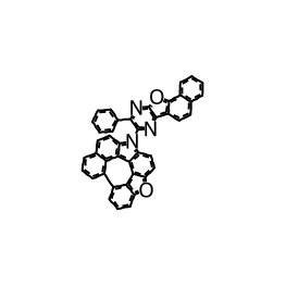 c1ccc(-c2nc3oc4c5ccccc5ccc4c3nc2-n2c3ccc4cccc5c4c3c3c4c(ccc32)oc2cccc-5c24)cc1